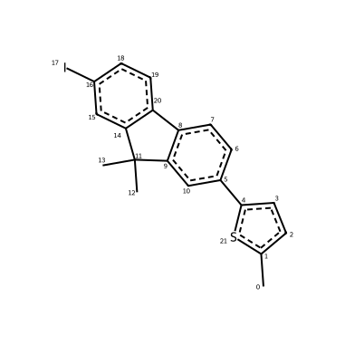 Cc1ccc(-c2ccc3c(c2)C(C)(C)c2cc(I)ccc2-3)s1